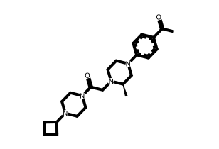 CC(=O)c1ccc(N2CCN(CC(=O)N3CCN(C4CCC4)CC3)[C@H](C)C2)cc1